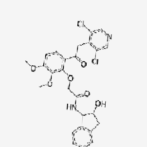 COc1ccc(C(=O)Cc2c(Cl)cncc2Cl)c(OCC(=O)NC2c3ccccc3CC2O)c1OC